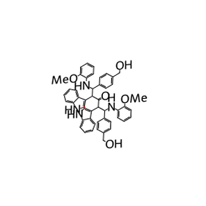 COc1ccccc1NC(c1ccc(CO)cc1)C(C(=O)C(c1c[nH]c2ccccc12)C(Nc1ccccc1OC)c1ccc(CO)cc1)c1c[nH]c2ccccc12